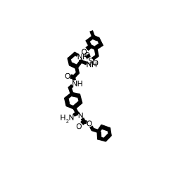 CC1=CC=C(CS(=O)(=O)NC2NCCC=C2CC(=O)NCc2ccc(C(N)=NC(=O)OCc3ccccc3)cc2)C(=O)C1